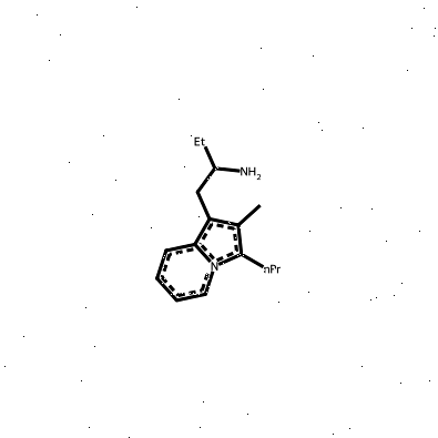 CCCc1c(C)c(CC(N)CC)c2ccccn12